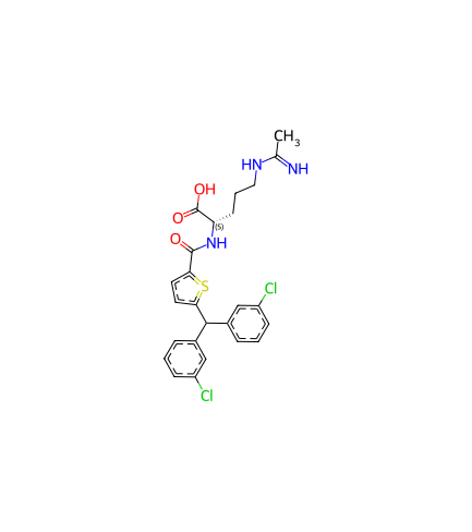 CC(=N)NCCC[C@H](NC(=O)c1ccc(C(c2cccc(Cl)c2)c2cccc(Cl)c2)s1)C(=O)O